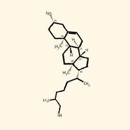 CC(CS)CCCC(C)[C@H]1CC[C@H]2[C@@H]3CC=C4C[C@@H](O)CC[C@]4(C)[C@H]3CC[C@]12C